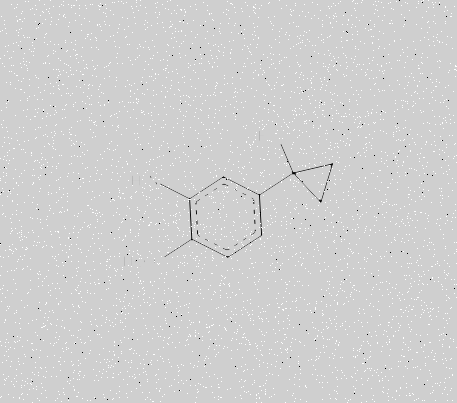 Nc1cc(C2(C(F)(F)F)CC2)ccc1C(=O)O